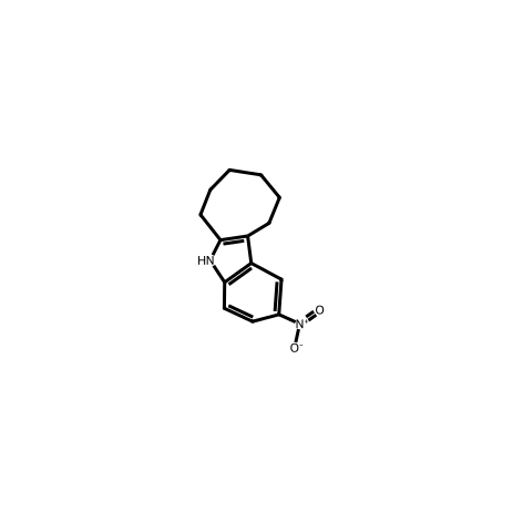 O=[N+]([O-])c1ccc2[nH]c3c(c2c1)CCCCCC3